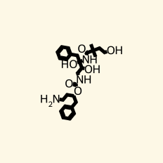 CC(C)(CCO)C(=O)NC(O)(Cc1ccccc1)C(O)CNC(=O)OC(CCN)Cc1ccccc1